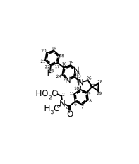 CN(CC(=O)O)C(=O)c1ccc2c(c1)N(c1ncc(-c3ccccc3F)cn1)CC21CC1